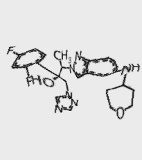 C[C@@H](n1cc2cc(NC3CCOCC3)ccc2n1)[C@](O)(Cn1cncn1)c1ccc(F)cc1F